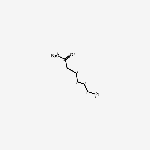 CC(C)CCCCCC(=O)OCC(C)C